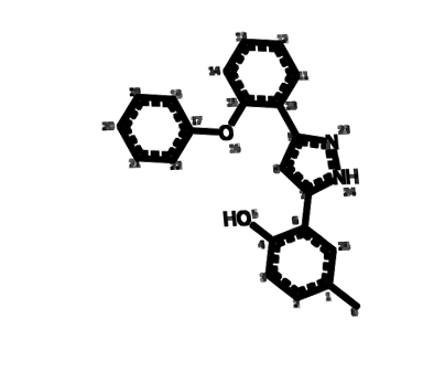 Cc1ccc(O)c(-c2cc(-c3ccccc3Oc3ccccc3)n[nH]2)c1